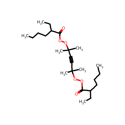 CCCCC(CC)C(=O)OOC(C)(C)C#CC(C)(C)OOC(=O)C(CC)CCCC